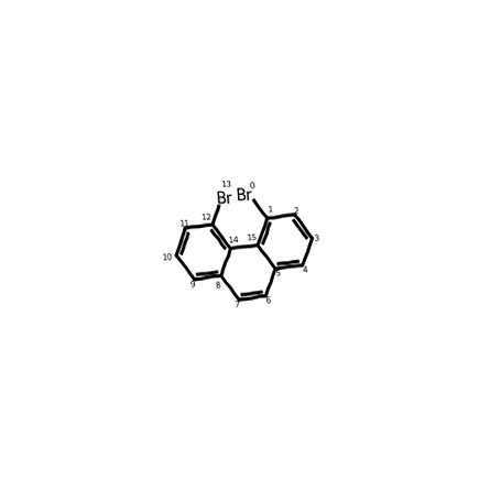 Brc1cccc2ccc3cccc(Br)c3c12